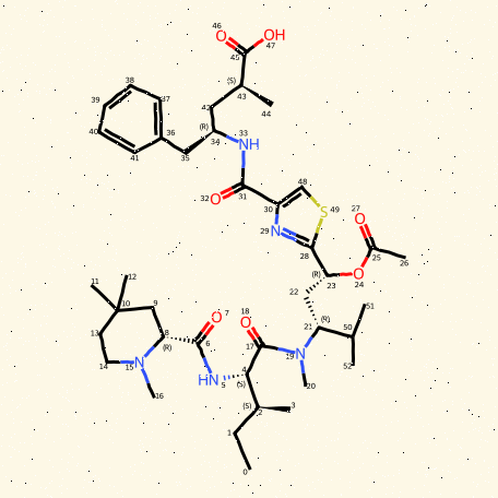 CC[C@H](C)[C@H](NC(=O)[C@H]1CC(C)(C)CCN1C)C(=O)N(C)[C@H](C[C@@H](OC(C)=O)c1nc(C(=O)N[C@@H](Cc2ccccc2)C[C@H](C)C(=O)O)cs1)C(C)C